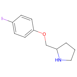 Ic1ccc(OCC2CCCN2)cc1